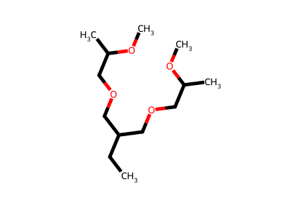 CCC(COCC(C)OC)COCC(C)OC